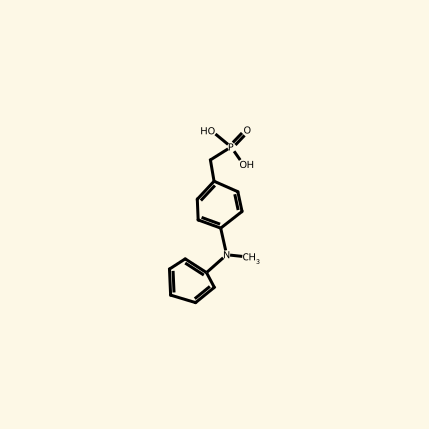 CN(c1ccccc1)c1ccc(CP(=O)(O)O)cc1